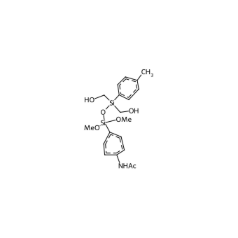 CO[Si](OC)(O[Si](CO)(CO)c1ccc(C)cc1)c1ccc(NC(C)=O)cc1